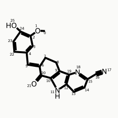 COc1cc(/C=C2\CCc3c([nH]c4ccc(C#N)nc34)C2=O)ccc1O